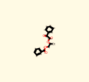 CCC(COC(=O)c1ccccc1)OC(=O)C(=O)c1ccccc1